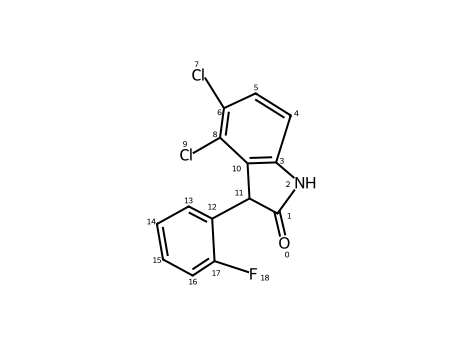 O=C1Nc2ccc(Cl)c(Cl)c2C1c1ccccc1F